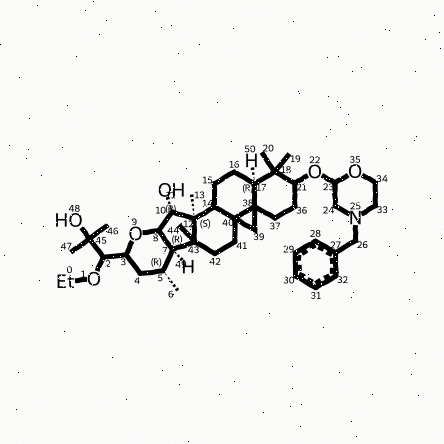 CCOC(C1C[C@@H](C)[C@H]2C(O1)[C@H](O)[C@@]1(C)C3CC[C@H]4C(C)(C)C(OC5CN(Cc6ccccc6)CCO5)CCC45CC35CCC21C)C(C)(C)O